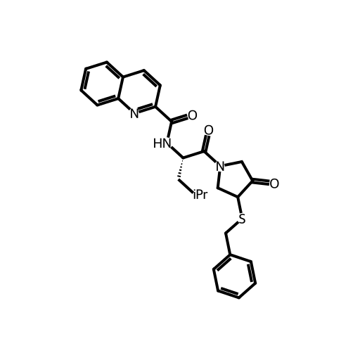 CC(C)C[C@H](NC(=O)c1ccc2ccccc2n1)C(=O)N1CC(=O)C(SCc2ccccc2)C1